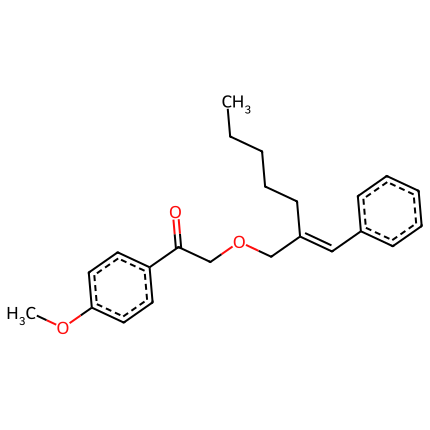 CCCCC/C(=C\c1ccccc1)COCC(=O)c1ccc(OC)cc1